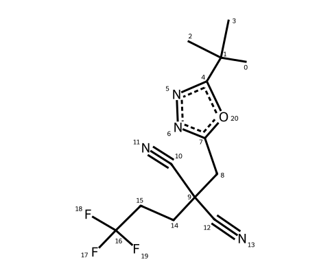 CC(C)(C)c1nnc(CC(C#N)(C#N)CCC(F)(F)F)o1